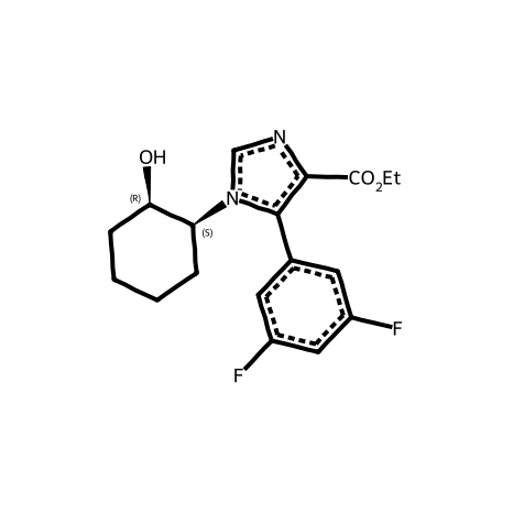 CCOC(=O)c1ncn([C@H]2CCCC[C@H]2O)c1-c1cc(F)cc(F)c1